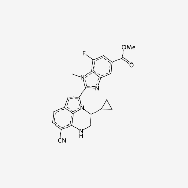 COC(=O)c1cc(F)c2c(c1)nc(-c1cc3ccc(C#N)c4c3n1C(C1CC1)CN4)n2C